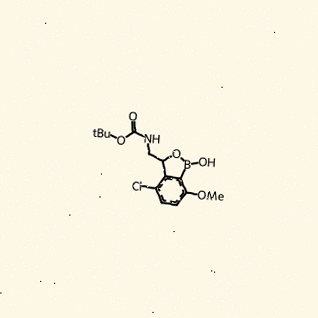 COc1ccc(Cl)c2c1B(O)OC2CNC(=O)OC(C)(C)C